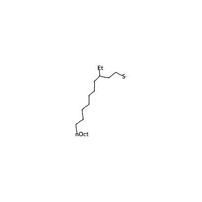 CCCCCCCCCCCCCCCC(CC)CC[S]